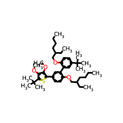 CCCCC(CC)COc1ccc(-c2sc(C(C)(C)C)c(OC)c2OC)cc1-c1cc(C(C)(C)C)ccc1OCC(CC)CCCC